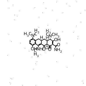 CNC1=C2C(=O)[C@]3(O)C(=O)C(C(N)=O)=C(O)[C@@H](N(C)C)[C@@H]3C[C@@H]2Cc2c(N(C)C)ccc(O)c21